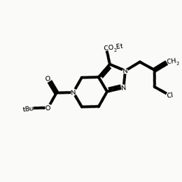 C=C(CCl)Cn1nc2c(c1C(=O)OCC)CN(C(=O)OC(C)(C)C)CC2